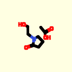 CC(=O)O.O=C1CCCN1CCO